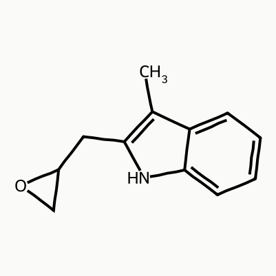 Cc1c(CC2CO2)[nH]c2ccccc12